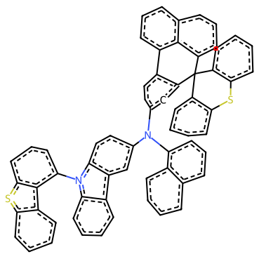 c1ccc2c(c1)Sc1ccccc1C21c2cc(N(c3ccc4c(c3)c3ccccc3n4-c3cccc4sc5ccccc5c34)c3cccc4ccccc34)ccc2-c2cccc3cccc1c23